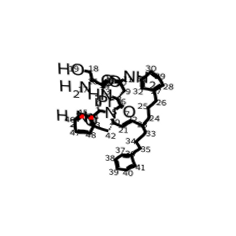 CC(C)[C@@H](C(N)=O)N(C(=O)[C@H](CC(N)=O)NC(=O)C(N)CO)[C@H](C=CC(CCCc1ccccc1)CCCc1ccccc1)Cc1ccccc1